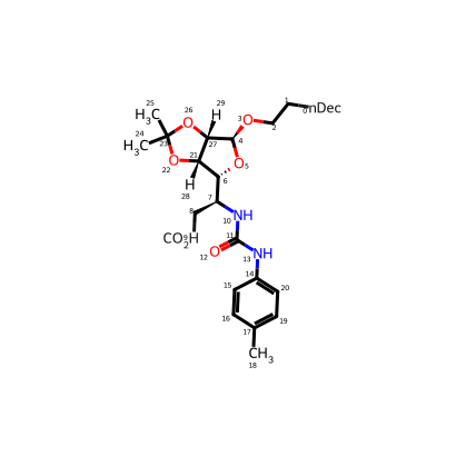 CCCCCCCCCCCCO[C@H]1O[C@H]([C@H](CC(=O)O)NC(=O)Nc2ccc(C)cc2)[C@@H]2OC(C)(C)O[C@H]12